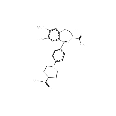 CNC(=O)C1CCN(c2ccc(C3=NN(C(=O)NC)[C@@H](C)Cc4cc(OC)c(OC)cc43)cc2)CC1